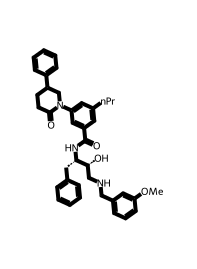 CCCc1cc(C(=O)N[C@@H](Cc2ccccc2)[C@H](O)CNCc2cccc(OC)c2)cc(N2CC(c3ccccc3)CCC2=O)c1